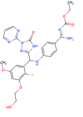 CCOC(=O)N=C(N)c1ccc(NC(c2nn(-c3ncccn3)c(=O)[nH]2)c2cc(OC)cc(OCCO)c2F)cc1